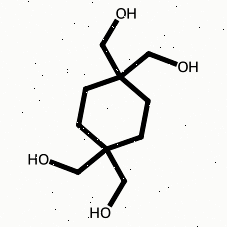 OCC1(CO)CCC(CO)(CO)CC1